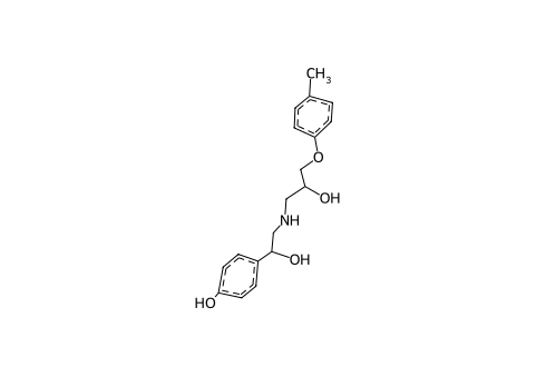 Cc1ccc(OCC(O)CNCC(O)c2ccc(O)cc2)cc1